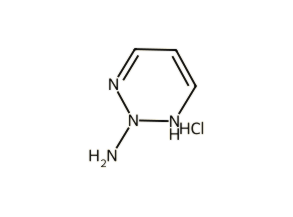 Cl.NN1N=CC=CN1